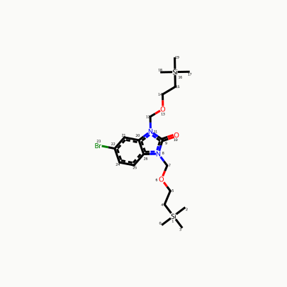 C[Si](C)(C)CCOCn1c(=O)n(COCC[Si](C)(C)C)c2cc(Br)ccc21